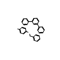 Oc1ccc(OCc2ccccc2)cc1.c1ccc(-c2cccc(-c3ccccc3)c2)cc1